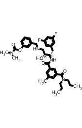 CCCN(CCC)C(=O)c1cc(C)cc(C(=O)N[C@@H](Cc2cc(F)cc(F)c2)[C@H](O)CNCc2cccc(OC(=O)N(C)C)c2)c1